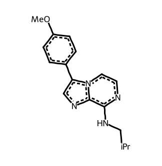 COc1ccc(-c2cnc3c(NCC(C)C)nccn23)cc1